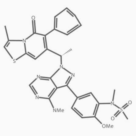 CNc1ncnc2c1c(-c1ccc(OC)c(N(C)S(C)(=O)=O)c1)nn2[C@@H](C)c1cc2scc(C)n2c(=O)c1-c1ccccc1